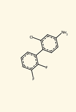 Nc1ccc(-c2cc[c]c(F)c2F)c(Cl)c1